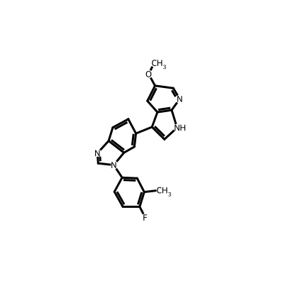 COc1cnc2[nH]cc(-c3ccc4ncn(-c5ccc(F)c(C)c5)c4c3)c2c1